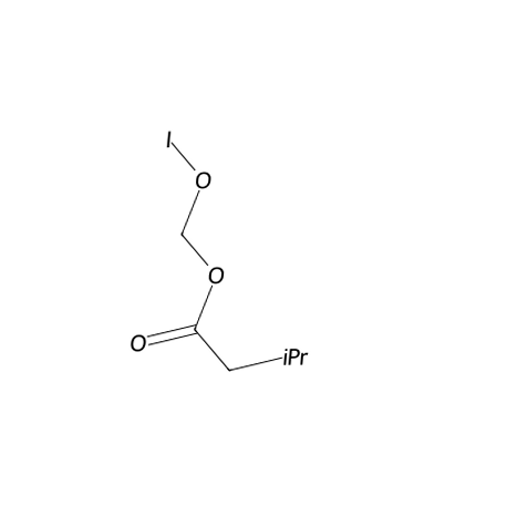 CC(C)CC(=O)OCOI